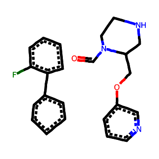 Fc1ccccc1-c1ccccc1.O=CN1CCNCC1COc1cccnc1